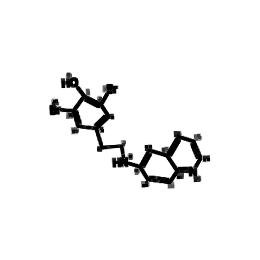 Oc1c(Br)cc(CCNc2ccc3ncccc3c2)cc1Br